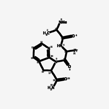 CNC(C)C(=O)NC(C(=O)N1c2ncccc2CC1C(N)=O)C(C)C